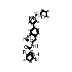 N#C[C@H](Cc1ccc(-c2cnn(C[C@@H]3CCCO3)c2)cc1F)NC(=O)[C@H]1N[C@@H]2CC[C@H]1C2